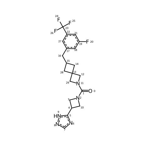 O=C(N1CC(c2ncn[nH]2)C1)N1CC2(CC(Cc3cc(F)cc(C(F)(F)F)c3)C2)C1